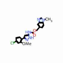 COc1cc(Cl)ccc1-c1cc(NC(=O)OCc2ccc3c(c2)ncn3C)[nH]n1